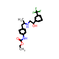 CCOC(=O)Nc1ccc(CC(C)NCC(O)c2cccc(C(F)(F)F)c2)cc1